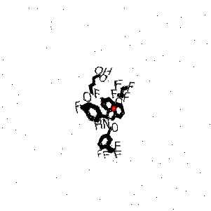 O=C(O)CCCCOc1cc([C@@](Cc2ccccc2)(NC(=O)c2ccc(F)c(C(F)(F)F)c2)c2cc(F)cc(OC(F)(F)C(F)F)c2)ccc1F